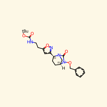 CC(C)(C)OC(=O)NCCc1cc([C@@H]2CC[C@H]3CN2C(=O)N3OCc2ccccc2)no1